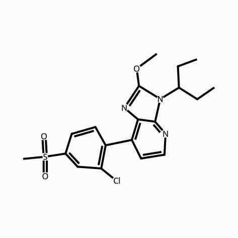 CCC(CC)n1c(OC)nc2c(-c3ccc(S(C)(=O)=O)cc3Cl)ccnc21